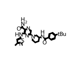 Cc1cc(Nc2nc(N3CCCC(NC(=O)c4ccc(C(C)(C)C)cc4)C3)cnc2C(N)=O)sn1